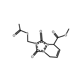 COC(=O)C1C=CCn2c(=O)n(CSC(C)=O)c(=O)n21